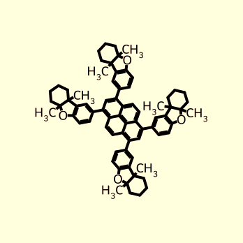 CC12CCCCC1(C)c1cc(-c3cc(-c4ccc5c(c4)C4(C)CCCCC4(C)O5)c4ccc5c(-c6ccc7c(c6)C6(C)CCCCC6(C)O7)cc(-c6ccc7c(c6)C6(C)CCCCC6(C)O7)c6ccc3c4c65)ccc1O2